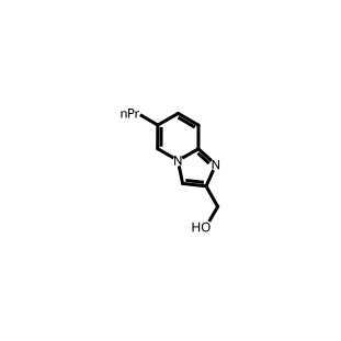 CCCc1ccc2nc(CO)cn2c1